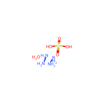 NN.NN.O.O=S(=O)(O)O